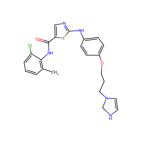 Cc1cccc(Cl)c1NC(=O)c1cnc(Nc2ccc(OCCCN3C=CNC3)cc2)s1